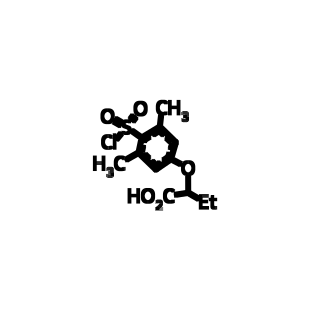 CCC(Oc1cc(C)c(S(=O)(=O)Cl)c(C)c1)C(=O)O